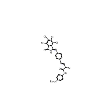 CCOc1ccc(NC(=O)C(/N=N/c2ccc(/N=C3\NC(=O)c4c(Cl)c(Cl)c(Cl)c(Cl)c43)cc2)C(C)=O)cc1